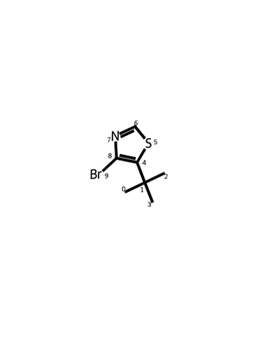 CC(C)(C)c1scnc1Br